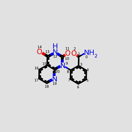 NC(=O)c1ccccc1-n1c(=O)[nH]c(=O)c2cccnc21